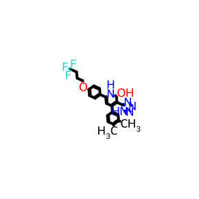 Cc1ccc(C2=C(c3nnn[nH]3)C(O)NC(c3ccc(OCCCC(F)(F)F)cc3)=C2)cc1C